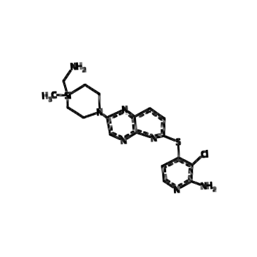 C[Si]1(CN)CCN(c2cnc3nc(Sc4ccnc(N)c4Cl)ccc3n2)CC1